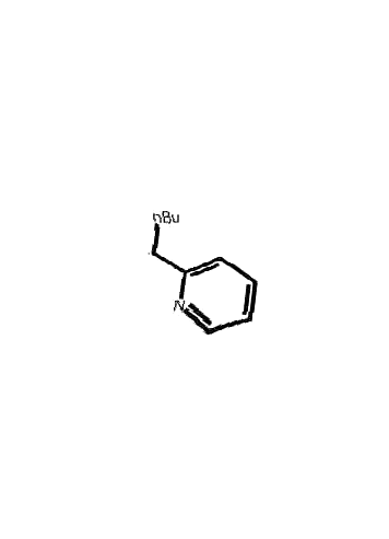 CCCC[CH]c1ccccn1